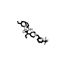 CCC1CC2CCC(NC(=O)C(CC)C3CCN(Cc4cccc(C(F)(F)F)n4)CC3)[PH2](C1)C2